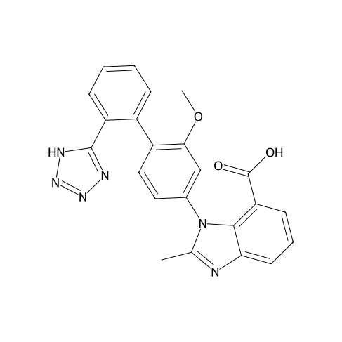 COc1cc(-n2c(C)nc3cccc(C(=O)O)c32)ccc1-c1ccccc1-c1nnn[nH]1